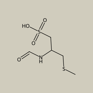 CSCC(CS(=O)(=O)O)NC=O